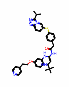 CC(C)c1nnc2ccc(Sc3ccc(CC(=O)N/C(=C/C(=N)C(C)(C)C)Nc4cccc(OCCc5ccncc5)c4)cc3)cn12